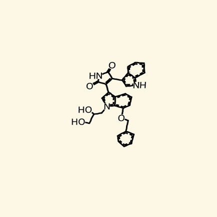 O=C1NC(=O)C(c2cn(CC(O)CO)c3c(OCc4ccccc4)cccc23)=C1c1c[nH]c2ccccc12